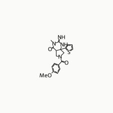 COc1ccc(C(=O)N2CC3C(=O)N(C)C(=N)NC3(c3cccs3)C2)cc1